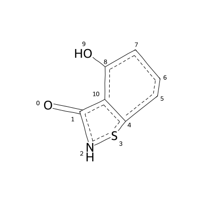 O=c1[nH]sc2cccc(O)c12